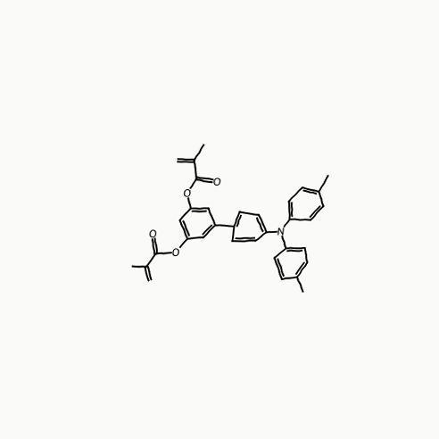 C=C(C)C(=O)Oc1cc(OC(=O)C(=C)C)cc(-c2ccc(N(c3ccc(C)cc3)c3ccc(C)cc3)cc2)c1